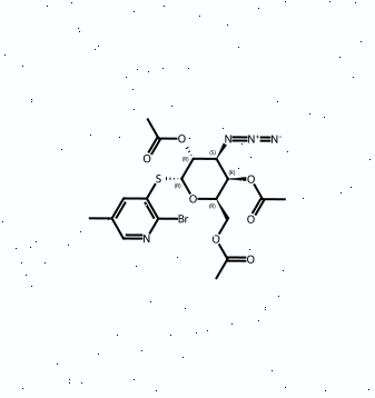 CC(=O)OC[C@H]1O[C@H](Sc2cc(C)cnc2Br)[C@H](OC(C)=O)[C@@H](N=[N+]=[N-])[C@H]1OC(C)=O